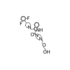 O=C(c1[nH]c2ccccc2c1CN1CCC(c2c(F)cccc2F)CC1)N1CCN(CCOCCO)CC1